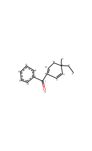 CCC1(C)C=CC(C(=O)c2ccccc2)=CC1